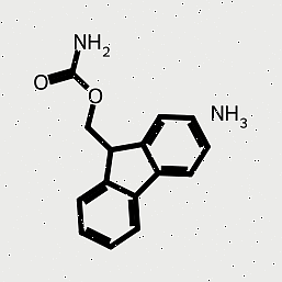 N.NC(=O)OCC1c2ccccc2-c2ccccc21